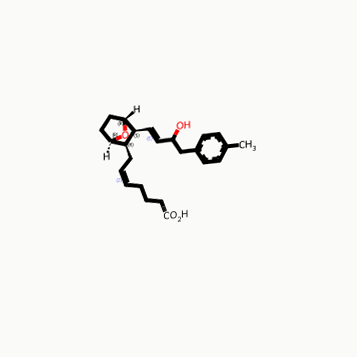 Cc1ccc(CC(O)/C=C/[C@H]2[C@@H](C/C=C\CCCC(=O)O)[C@H]3CC[C@H]2O3)cc1